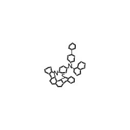 c1ccc(-c2ccc(N(c3ccc(-n4c5ccccc5c5ccc6ccc7c8ccccc8sc7c6c54)cc3)c3cccc4ccccc34)cc2)cc1